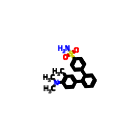 Cc1cc(-c2ccccc2-c2ccc(S(N)(=O)=O)cc2)ccc1N(C)C